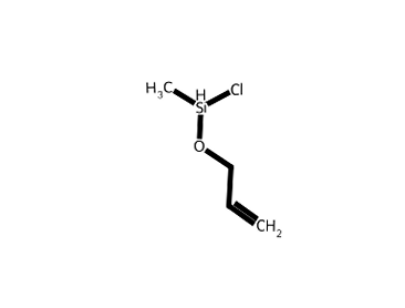 C=CCO[SiH](C)Cl